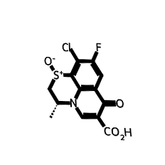 C[C@@H]1C[S+]([O-])c2c(Cl)c(F)cc3c(=O)c(C(=O)O)cn1c23